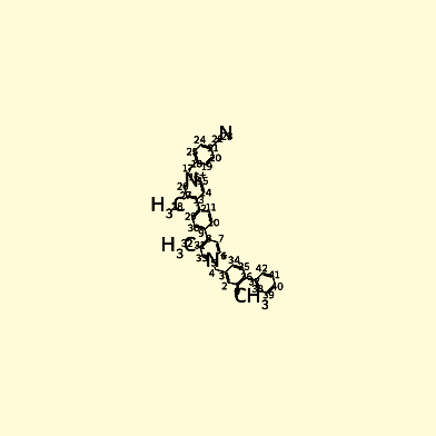 Cc1cc(C[n+]2ccc(-c3ccc(-c4cc[n+](Cc5ccc(C#N)cc5)cc4C)cc3)c(C)c2)ccc1-c1ccccc1